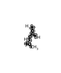 COc1ccc(CC(=O)Nc2ccc(C(=O)N(CC(=O)O)Cc3ccc(OC(C)=O)cc3)cc2)c(C(F)(F)F)c1